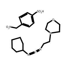 C(=NCCN1CCOCC1)=NC1CCCCC1.O=[N+]([O-])Cc1ccc(S(=O)(=O)O)cc1